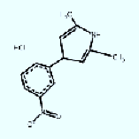 CC1=CC(c2cccc([N+](=O)[O-])c2)C=C(C)N1.Cl